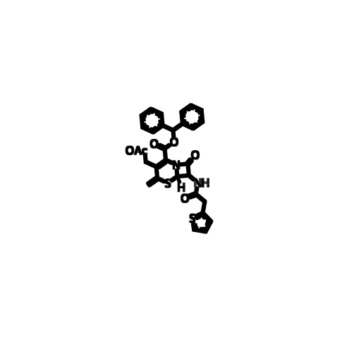 C=C1S[C@H]2C(NC(=O)Cc3cccs3)C(=O)N2C(C(=O)OC(c2ccccc2)c2ccccc2)=C1COC(C)=O